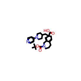 CC(C)(C)OC(=O)N1CCCC2=CCC(CC3CCN(c4ccncc4)CC3)(C(=O)O)C=C2C1